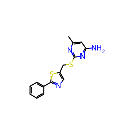 Cc1cc(N)nc(SCc2cnc(-c3ccccc3)s2)n1